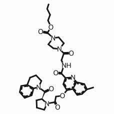 CCCCOC(=O)N1CCN(C(=O)CNC(=O)c2cc(OCC(=O)N3CCC[C@H]3C(=O)N3CCCc4ccccc43)c3ccc(C)cc3n2)CC1